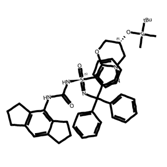 CC(C)(C)[Si](C)(C)O[C@H]1COc2c([S@@](=O)(=NC(c3ccccc3)(c3ccccc3)c3ccccc3)NC(=O)Nc3c4c(cc5c3CCC5)CCC4)cnn2C1